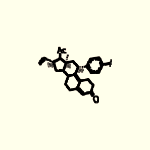 C=C[C@@H]1CC2C3CCC4=CC(=O)CCC4=C3[C@@H](c3ccc(I)cc3)C[C@]2(C)C1C(C)=O